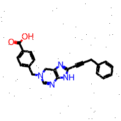 O=C(O)c1ccc(CN2C=Nc3[nH]c(C#CCc4ccccc4)nc3C2)cc1